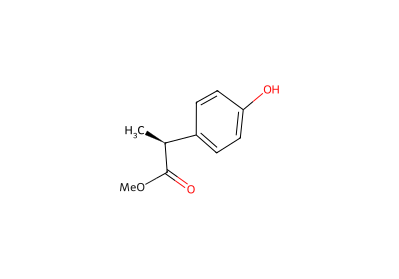 COC(=O)[C@@H](C)c1ccc(O)cc1